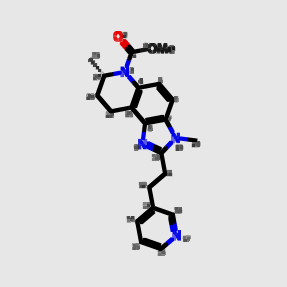 COC(=O)N1c2ccc3c(nc(CCc4cccnc4)n3C)c2CC[C@@H]1C